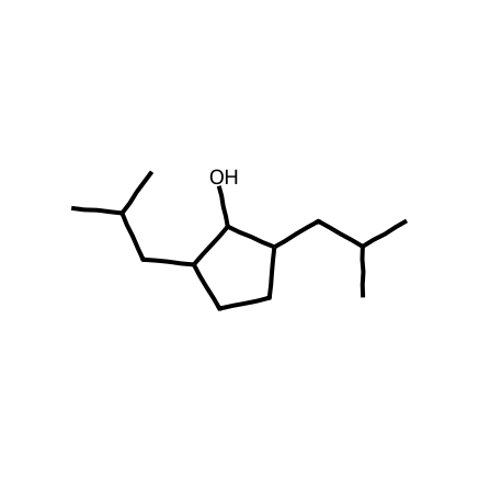 CC(C)CC1CCC(CC(C)C)C1O